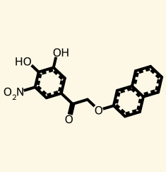 O=C(COc1ccc2ccccc2c1)c1cc(O)c(O)c([N+](=O)[O-])c1